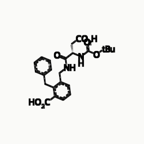 CC(C)(C)OC(=O)N[C@@H](CC(=O)O)C(=O)NCc1cccc(C(=O)O)c1Cc1ccccc1